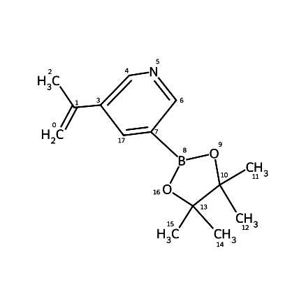 C=C(C)c1cncc(B2OC(C)(C)C(C)(C)O2)c1